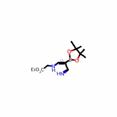 CCOC(=O)CN/C=C(\C=N)B1OC(C)(C)C(C)(C)O1